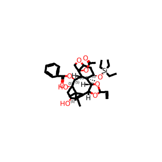 C=CC1O[C@@H]2C3=C(C)[C@@H](O)C[C@@](O)([C@@H](OC(=O)c4ccccc4)[C@H]4[C@@](C)([C@@H](O[Si](CC)(CC)CC)CC5OC[C@]54OC(C)=O)[C@@H]2O1)C3(C)C